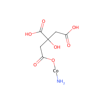 [NH2][Co][O]C(=O)CC(O)(CC(=O)O)C(=O)O